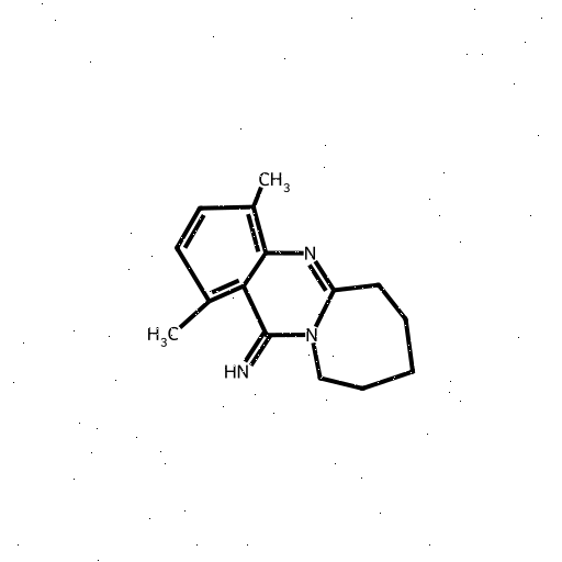 Cc1ccc(C)c2c(=N)n3c(nc12)CCCCC3